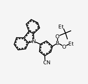 CCOB(OC(C)(C)CC)c1cc(C#N)cc(-n2c3ccccc3c3ccccc32)c1